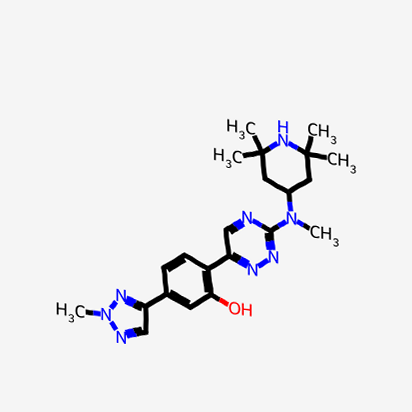 CN(c1ncc(-c2ccc(-c3cnn(C)n3)cc2O)nn1)C1CC(C)(C)NC(C)(C)C1